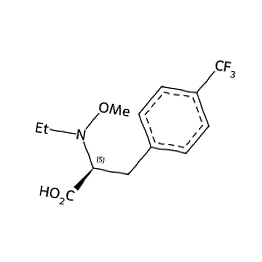 CCN(OC)[C@@H](Cc1ccc(C(F)(F)F)cc1)C(=O)O